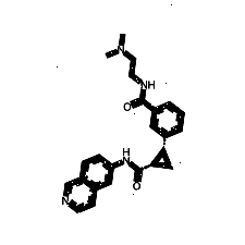 CN(C)CCNC(=O)c1cccc([C@@H]2C[C@H]2C(=O)Nc2ccc3cnccc3c2)c1